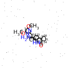 COc1cc(OC)nc(CC(C)(N)c2ccc3c4c(c(=O)[nH]c3c2)CCCC4)n1